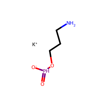 NCCCO[PH](=O)[O-].[K+]